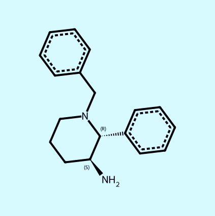 N[C@H]1CCCN(Cc2ccccc2)[C@@H]1c1ccccc1